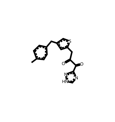 Cc1ccc(Cc2csc(CC(=O)C(=O)c3nc[nH]n3)c2)cc1